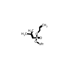 C=CCOP(=O)(C=C(C)C)OCCC